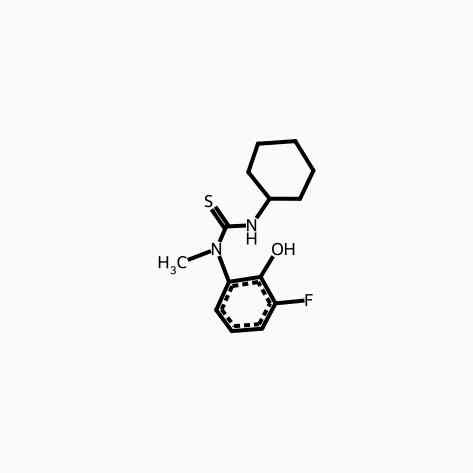 CN(C(=S)NC1CCCCC1)c1cccc(F)c1O